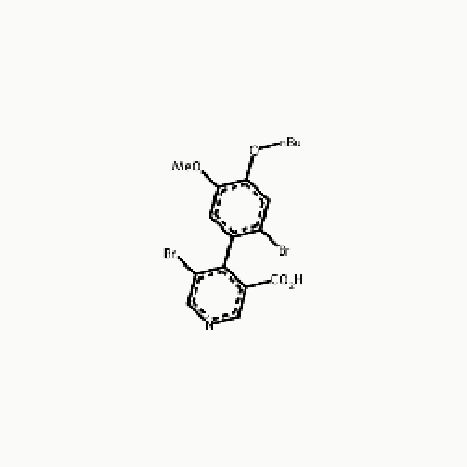 CCCCOc1cc(Br)c(-c2c(Br)cncc2C(=O)O)cc1OC